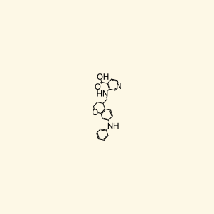 O=C(O)c1ccncc1NCC1CCOc2cc(Nc3ccccc3)ccc21